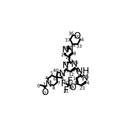 CC(=O)N1CCC2(CC1)CN(c1cc(Nc3cc(OC(F)(F)F)ccn3)nc(-c3cnn(C4CCOCC4)c3)n1)C2